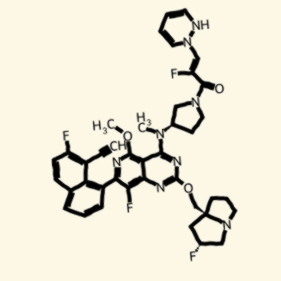 C#Cc1c(F)ccc2cccc(-c3nc(OC)c4c(N(C)[C@@H]5CCN(C(=O)/C(F)=C/N6C=CC=CN6)C5)nc(OC[C@@]56CCCN5C[C@H](F)C6)nc4c3F)c12